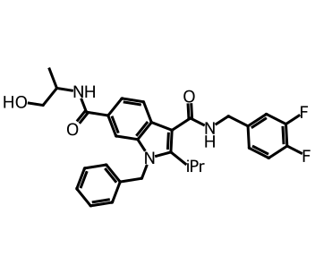 CC(CO)NC(=O)c1ccc2c(C(=O)NCc3ccc(F)c(F)c3)c(C(C)C)n(Cc3ccccc3)c2c1